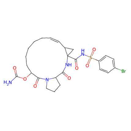 NC(=O)OC1CCCCCC=CC2CC2(C(=O)NS(=O)(=O)c2ccc(Br)cc2)NC(=O)C2CCCN2C1=O